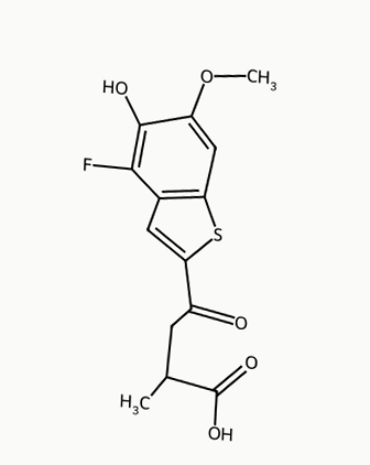 COc1cc2sc(C(=O)CC(C)C(=O)O)cc2c(F)c1O